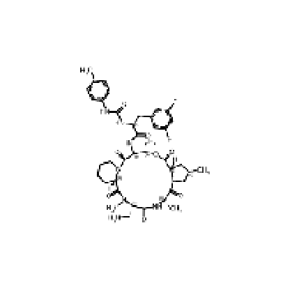 Cc1ccc(NC(=O)N[C@@H](Cc2cc(F)cc(F)c2)C(=O)N[C@@H]2C(=O)N3CCCC[C@H]3C(=O)N(C)[C@@H](CN)C(=O)N[C@@H](C)C(=O)N3C[C@H](C)C[C@H]3C(=O)O[C@H]2C)cc1